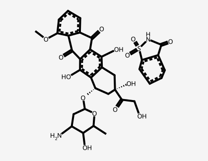 COc1cccc2c1C(=O)c1c(O)c3c(c(O)c1C2=O)C[C@@](O)(C(=O)CO)C[C@@H]3OC1CC(N)C(O)C(C)O1.O=C1NS(=O)(=O)c2ccccc21